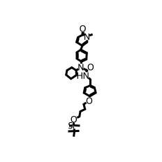 Cn1cc(-c2ccc(N(C(=O)NCc3ccc(OCCCCO[Si](C)(C)C(C)(C)C)cc3)C3CCCCC3)cc2)ccc1=O